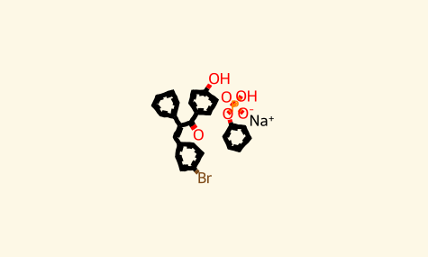 O=C(C(=Cc1ccc(Br)cc1)c1ccccc1)c1ccc(O)cc1.O=P([O-])(O)Oc1ccccc1.[Na+]